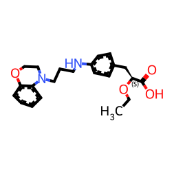 CCO[C@@H](Cc1ccc(NCCCN2CCOc3ccccc32)cc1)C(=O)O